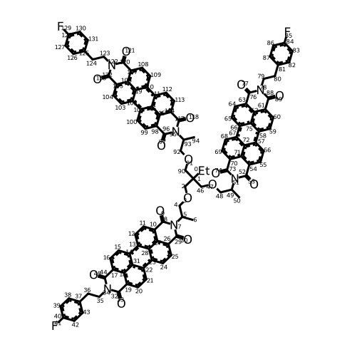 CCC(COCC(C)N1C(=O)c2ccc3c4ccc5c6c(ccc(c7ccc(c2c37)C1=O)c64)C(=O)N(CCc1ccc(F)cc1)C5=O)(COCC(C)N1C(=O)c2ccc3c4ccc5c6c(ccc(c7ccc(c2c37)C1=O)c64)C(=O)N(CCc1ccc(F)cc1)C5=O)COCC(C)N1C(=O)c2ccc3c4ccc5c6c(ccc(c7ccc(c2c37)C1=O)c64)C(=O)N(CCc1ccc(F)cc1)C5=O